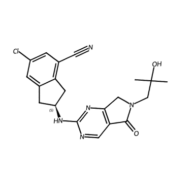 CC(C)(O)CN1Cc2nc(N[C@H]3Cc4cc(Cl)cc(C#N)c4C3)ncc2C1=O